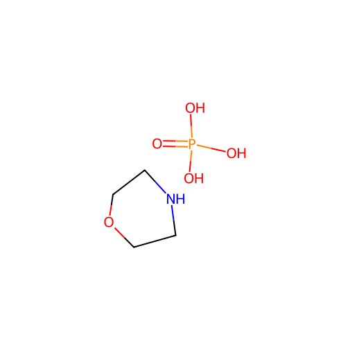 C1COCCN1.O=P(O)(O)O